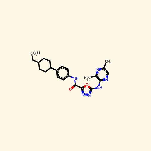 Cc1cnc(Nc2nnc(C(=O)Nc3ccc(C4CCC(CC(=O)O)CC4)cc3)o2)c(C)n1